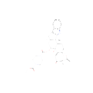 C=C1O[C@@]23CC[C@]4(C)[C@@]5(C)c6[nH]c7ccccc7c6C[C@@H]5C[C@H](OC(=O)N5CCN(C(=O)OC(C)(C)C)CC5)[C@@]4(O)C2=CC(=O)[C@@H]1O3